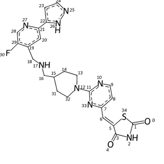 O=C1NC(=O)/C(=C/c2ccnc(N3CCC(CNCc4cc(-c5ccn[nH]5)ncc4F)CC3)n2)S1